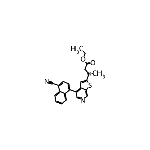 CCOC(=O)C[C@H](C)c1cc2c(-c3ccc(C#N)c4ccccc34)cncc2s1